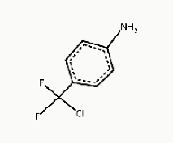 Nc1ccc(C(F)(F)Cl)cc1